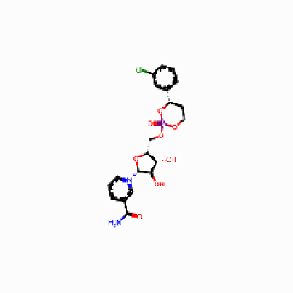 NC(=O)c1ccc[n+]([C@@H]2O[C@H](COP3(=O)OCC[C@@H](c4cccc(Cl)c4)O3)[C@H](O)C2O)c1